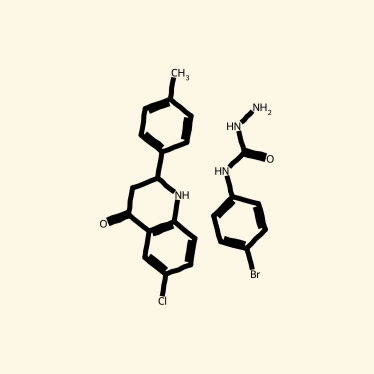 Cc1ccc(C2CC(=O)c3cc(Cl)ccc3N2)cc1.NNC(=O)Nc1ccc(Br)cc1